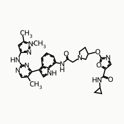 Cc1cnc(Nc2cc(C)n(C)n2)nc1-c1c[nH]c2c(NC(=O)CN3CCC(Oc4ncc(C(=O)NC5CC5)o4)C3)cccc12